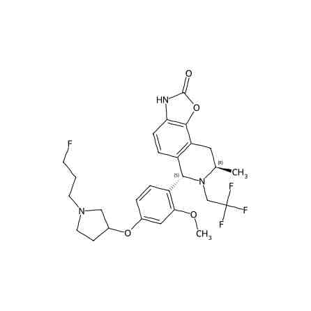 COc1cc(OC2CCN(CCCF)C2)ccc1[C@@H]1c2ccc3[nH]c(=O)oc3c2C[C@@H](C)N1CC(F)(F)F